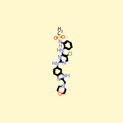 CS(=O)(=O)Nc1ccccc1Nc1nc(Nc2ccc3nc(CN4CCOCC4)[nH]c3c2)ncc1Cl